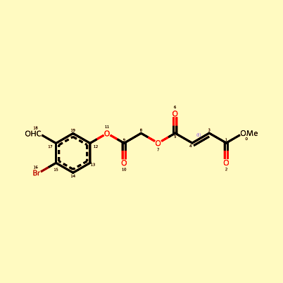 COC(=O)/C=C/C(=O)OCC(=O)Oc1ccc(Br)c(C=O)c1